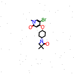 Cn1cc(Br)c(O[C@H]2CC[C@H](N3CC(C)(C)C3=O)CC2)cc1=O